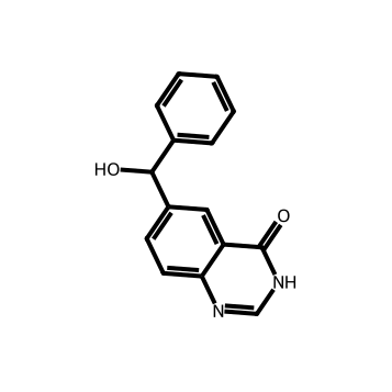 O=c1[nH]cnc2ccc(C(O)c3ccccc3)cc12